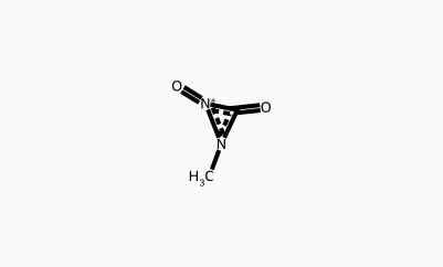 Cn1c(=O)[n+]1=O